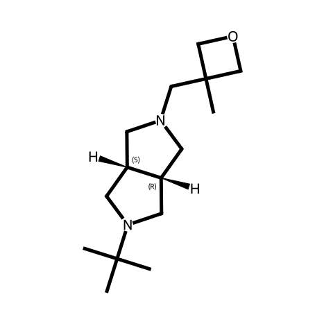 CC1(CN2C[C@@H]3CN(C(C)(C)C)C[C@@H]3C2)COC1